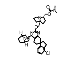 CN(C)C(=O)OC[C@@H]1CC[C@]2(COc3nc4c(c(N5C[C@H]6CC[C@@H](C5)N6)n3)CCC3(CCc5c(Cl)cccc53)C4)CCCN12